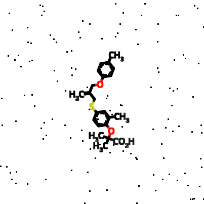 C=C(COc1ccc(C)cc1)CSc1ccc(OC(C)(C)C(=O)O)c(C)c1